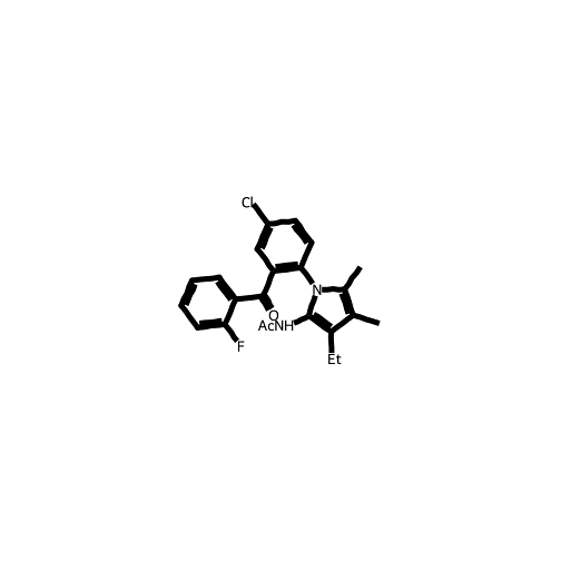 CCc1c(C)c(C)n(-c2ccc(Cl)cc2C(=O)c2ccccc2F)c1NC(C)=O